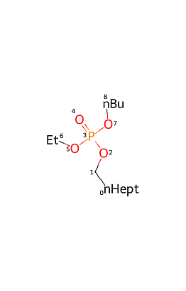 CCCCCCCCOP(=O)(OCC)OCCCC